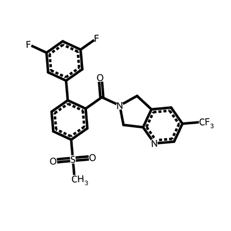 CS(=O)(=O)c1ccc(-c2cc(F)cc(F)c2)c(C(=O)N2Cc3cc(C(F)(F)F)cnc3C2)c1